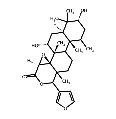 CC1C[C@@H](O)C(C)(C)[C@@H]2C[C@@H](O)[C@]3(C)C(CCC4(C)C(c5ccoc5)OC(=O)[C@H]5O[C@]543)[C@@]12C